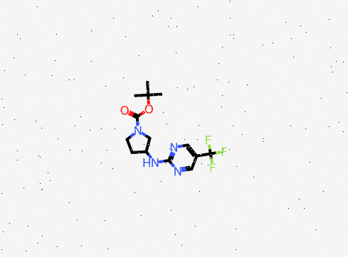 CC(C)(C)OC(=O)N1CCC(Nc2ncc(C(F)(F)F)cn2)C1